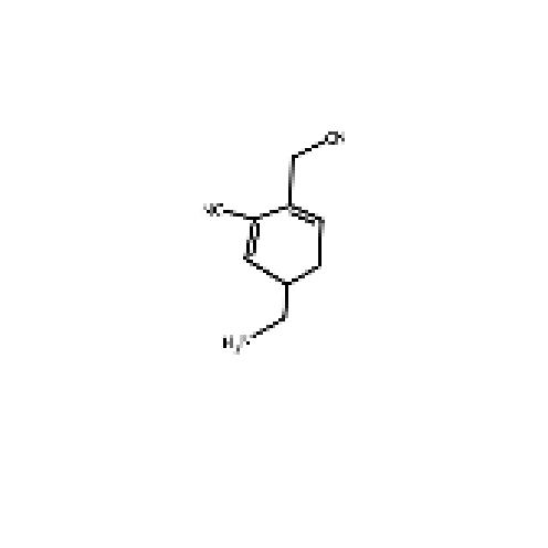 N#CCC1=CCC(CN)C=C1C#N